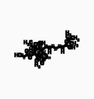 CC[C@@]1(C)C[C@@H](OC(=O)CO)[C@]2(C)[C@H](C)CCC3(CCC(=O)[C@H]32)C(CNCCCNC(O)OC(C)(C)C)C1O